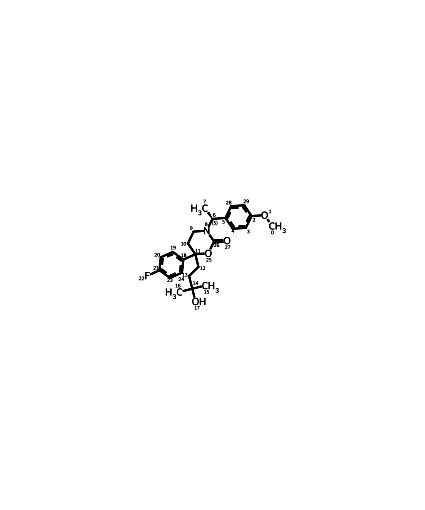 COc1ccc([C@H](C)N2CCC(CCC(C)(C)O)(c3ccc(F)cc3)OC2=O)cc1